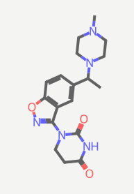 CC(c1ccc2onc(N3CCC(=O)NC3=O)c2c1)N1CCN(C)CC1